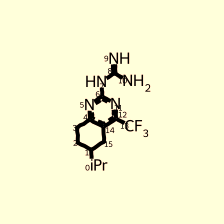 CC(C)C1CCc2nc(NC(=N)N)nc(C(F)(F)F)c2C1